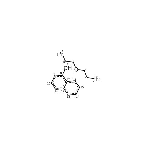 CC(C)CCOCCC(C)C.Oc1cccc2ccccc12